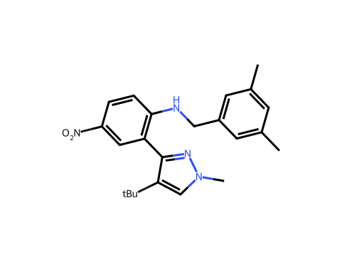 Cc1cc(C)cc(CNc2ccc([N+](=O)[O-])cc2-c2nn(C)cc2C(C)(C)C)c1